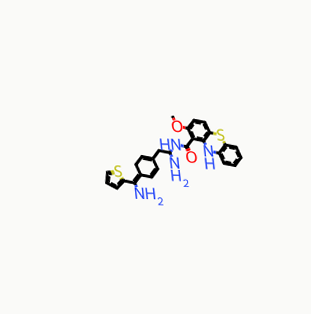 COc1ccc2c(c1C(=O)NC(N)CC1=CCC(=C(N)c3cccs3)C=C1)Nc1ccccc1S2